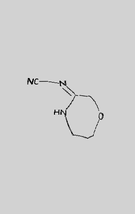 N#C/N=C1/COCCN1